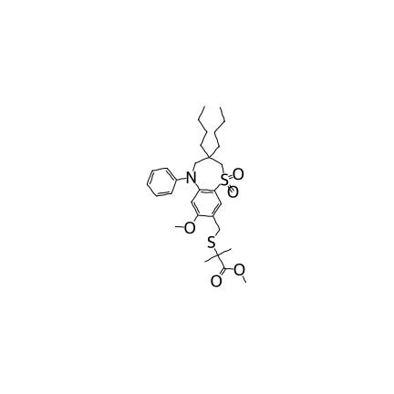 CCCCC1(CCCC)CN(c2ccccc2)c2cc(OC)c(CSC(C)(C)C(=O)OC)cc2S(=O)(=O)C1